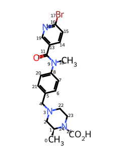 C[C@H]1CN(Cc2ccc(N(C)C(=O)c3ccc(Br)nc3)cc2)CCN1C(=O)O